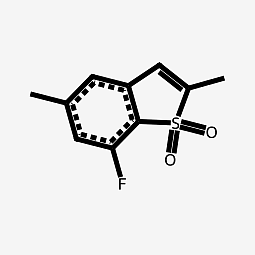 CC1=Cc2cc(C)cc(F)c2S1(=O)=O